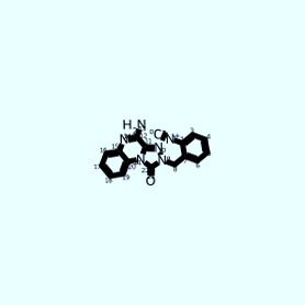 [C-]#[N+]c1ccccc1Cn1nc2c(N)nc3ccccc3n2c1=O